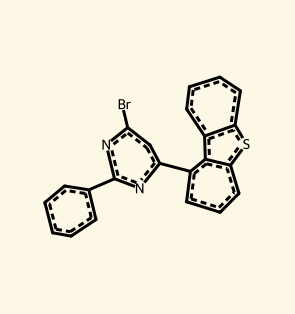 Brc1cc(-c2cccc3sc4ccccc4c23)nc(-c2ccccc2)n1